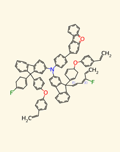 C=C/C(F)=C\C=C\C1(C2=CCC(Oc3ccc(C=C)cc3)C=C2)c2ccccc2-c2ccc(N(c3ccc(-c4ccc5oc6ccccc6c5c4)cc3)c3ccc4c(c3)C(C3=CC=C(F)CC3)(c3ccc(Oc5ccc(C=C)cc5)cc3)c3ccccc3-4)cc21